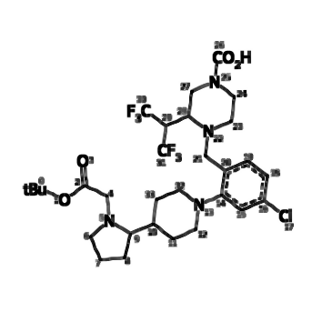 CC(C)(C)OC(=O)CN1CCCC1C1CCN(c2cc(Cl)ccc2CN2CCN(C(=O)O)CC2C(C(F)(F)F)C(F)(F)F)CC1